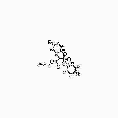 C#CCOC(=O)CP(=O)(Oc1ccc(F)cc1)Oc1ccc(F)cc1